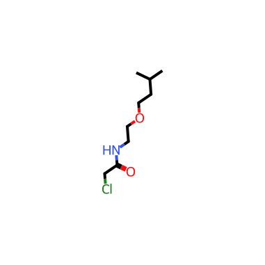 CC(C)CCOCCNC(=O)CCl